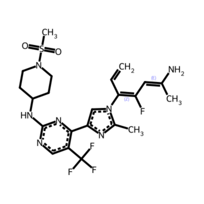 C=C/C(=C(F)\C=C(/C)N)n1cc(-c2nc(NC3CCN(S(C)(=O)=O)CC3)ncc2C(F)(F)F)nc1C